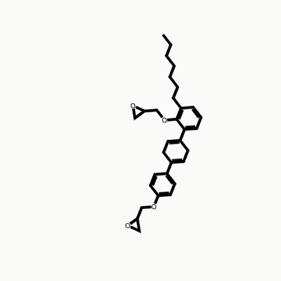 CCCCCCCc1cccc(C2=CCC(c3ccc(OCC4CO4)cc3)=CC2)c1OCC1CO1